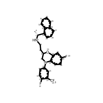 C[C@@H](NCCC1CN(c2ccc(F)c(C(F)(F)F)c2)c2ccc(F)cc2O1)c1cccc2ccccc12